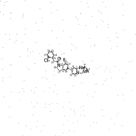 Cn1nccc1Nc1cc(-c2cc(F)c3c(c2)CCN3C(=O)Cc2ccccc2Cl)ccn1